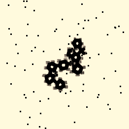 CC1(C)c2ccccc2-n2ccc3c2c1cc1c2ccccc2n(-c2ccc(-c4cccc5c4sc4c(-c6ccccc6)cccc45)cc2)c13